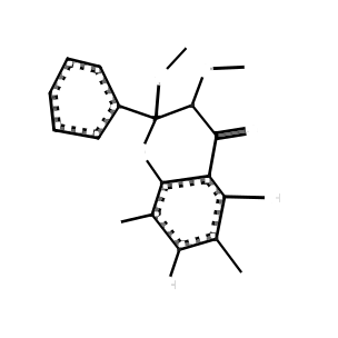 COC1C(=O)c2c(O)c(C)c(O)c(C)c2OC1(OC)c1ccccc1